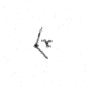 CCCCCCCCCCCCCCCCCCOS(=O)(=O)OCCCCCCCCCCCCCCCC.OCCN(CCO)CCO